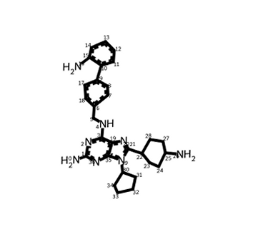 Nc1nc(NCc2ccc(-c3ccccc3N)cc2)c2nc(C3CCC(N)CC3)n(C3CCCC3)c2n1